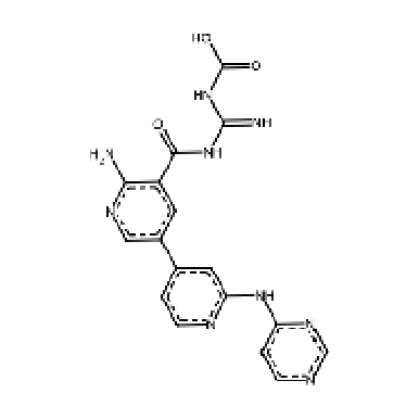 N=C(NC(=O)O)NC(=O)c1cc(-c2ccnc(Nc3ccncn3)c2)cnc1N